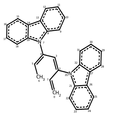 C=C/C(=C\C(=C/C)n1c2ccccc2c2ccccc21)n1c2ccccc2c2ccccc21